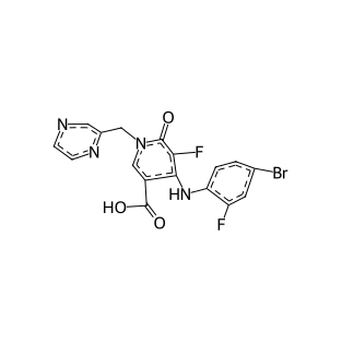 O=C(O)c1cn(Cc2cnccn2)c(=O)c(F)c1Nc1ccc(Br)cc1F